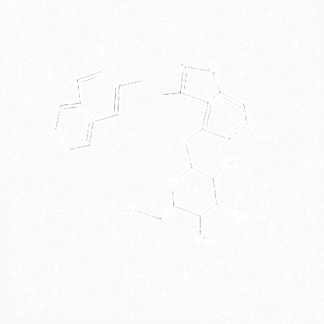 Cc1cc(OC2OC(CO)C(O)C(O)C2O)c2c(CCc3ccc4ccccc4c3)n[nH]c2c1